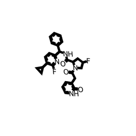 O=C(NC(c1ccccc1)c1ccc(C2CC2)c(F)n1)C1CC(F)CN1C(=O)Cc1ccc[nH]c1=O